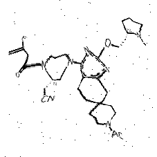 C=C(F)C(=O)N1CCN(c2nc(OC[C@@H]3CCCN3C)nc3c2CCC2(CCN(C(C)=O)CC2)C3)C[C@@H]1CC#N